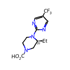 CC[C@H]1CN(C(=O)O)CCN1c1ncc(C(F)(F)F)cn1